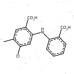 Cc1cc(C(=O)O)c(Nc2ccccc2C(=O)O)cc1Cl